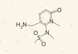 CN(c1c(CN)ccc(=O)n1C)S(C)(=O)=O